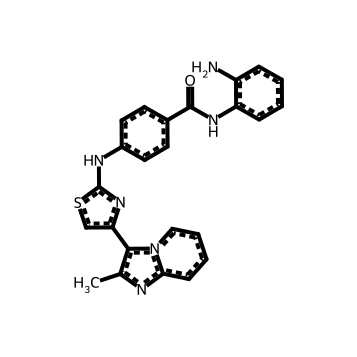 Cc1nc2ccccn2c1-c1csc(Nc2ccc(C(=O)Nc3ccccc3N)cc2)n1